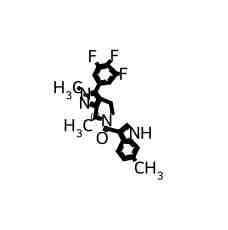 Cc1ccc2c(C(=O)N3CCc4c(nn(C)c4-c4cc(F)c(F)c(F)c4)[C@@H]3C)c[nH]c2c1